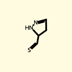 S=CC1CC=NN1